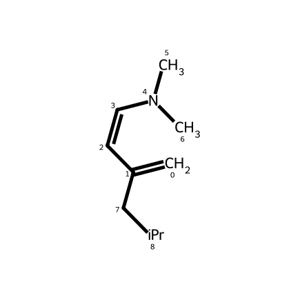 C=C(/C=C\N(C)C)CC(C)C